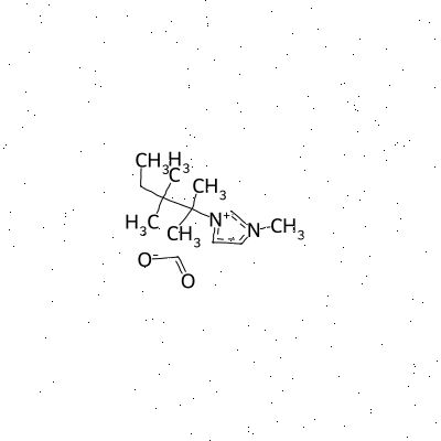 CCC(C)(C)C(C)(C)[n+]1ccn(C)c1.O=C[O-]